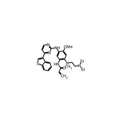 C=CC(=O)Nc1cc(Nc2nccc(-c3csc4ccccc34)n2)c(OC)cc1N(C)CCN(CC)CC